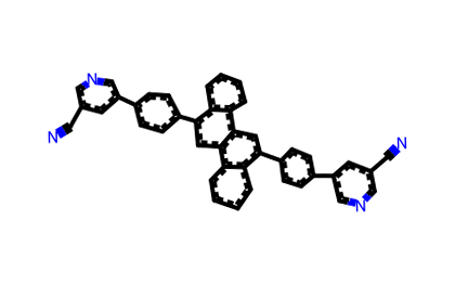 N#Cc1cncc(-c2ccc(-c3cc4c5ccccc5c(-c5ccc(-c6cncc(C#N)c6)cc5)cc4c4ccccc34)cc2)c1